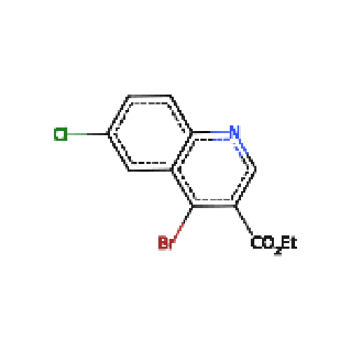 CCOC(=O)c1cnc2ccc(Cl)cc2c1Br